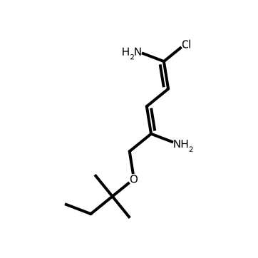 CCC(C)(C)OC/C(N)=C/C=C(\N)Cl